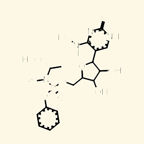 CC(C)N([C@@H](C)C(=O)O)P(=O)(OCC1OC(c2c[nH]c(=O)nc2NO)C(O)C1O)Oc1ccccc1